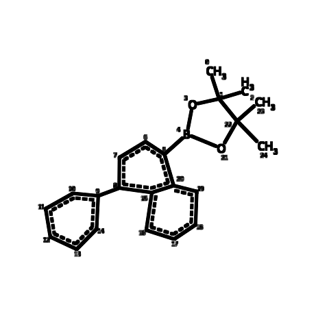 CC1(C)OB(c2ccc(-c3ccccc3)c3ccccc23)OC1(C)C